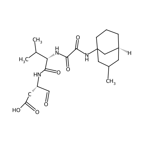 CC1C[C@@H]2CCCC(NC(=O)C(=O)N[C@H](C(=O)N[C@H](C=O)CC(=O)O)C(C)C)(C1)C2